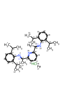 C/C(=N\c1c(C(C)C)cccc1C(C)C)c1cccc(/C(C)=N/c2c(C(C)C)cccc2C(C)C)n1.Cl.[Fe]